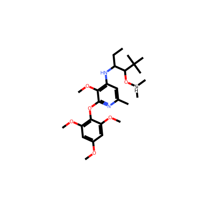 CCC(Nc1cc(C)nc(Oc2c(OC)cc(OC)cc2OC)c1OC)C(O[SiH](C)C)C(C)(C)C